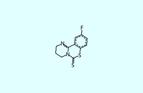 Fc1ccc2c(c1)C1=NCCCN1C(=S)S2